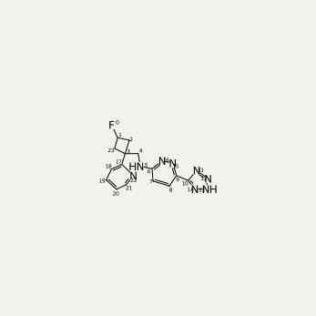 FC1CC(CNc2ccc(-c3nn[nH]n3)nn2)(c2ccccn2)C1